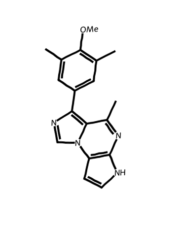 COc1c(C)cc(-c2ncn3c2c(C)nc2[nH]ccc23)cc1C